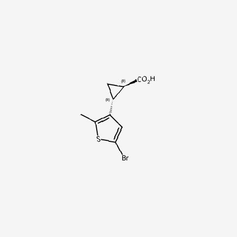 Cc1sc(Br)cc1[C@@H]1C[C@H]1C(=O)O